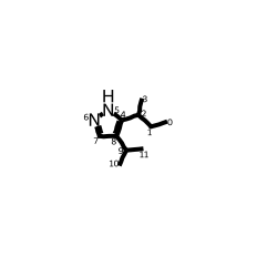 CCC(C)c1[nH]ncc1C(C)C